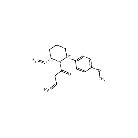 C=CCC(=O)N1[C@H](C=C)CCC[C@@H]1c1ccc(OC)cc1